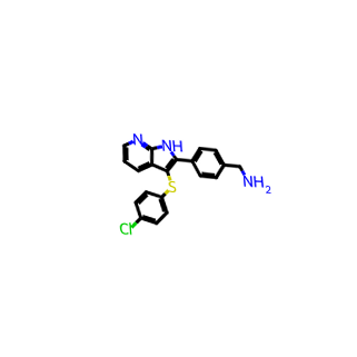 NCc1ccc(-c2[nH]c3ncccc3c2Sc2ccc(Cl)cc2)cc1